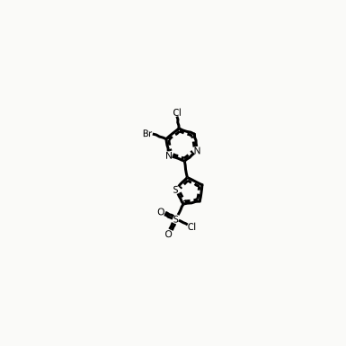 O=S(=O)(Cl)c1ccc(-c2ncc(Cl)c(Br)n2)s1